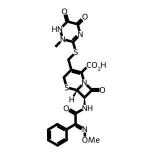 CON=C(C(=O)N[C@@H]1C(=O)N2C(C(=O)O)=C(CSc3nc(=O)c(=O)[nH]n3C)CS[C@@H]12)c1ccccc1